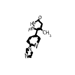 CC1=C(c2ccc(-n3ccnc3)nc2)NNC(=O)C1